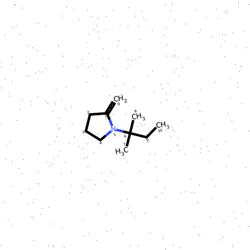 C=C1CCCN1C(C)(C)CC